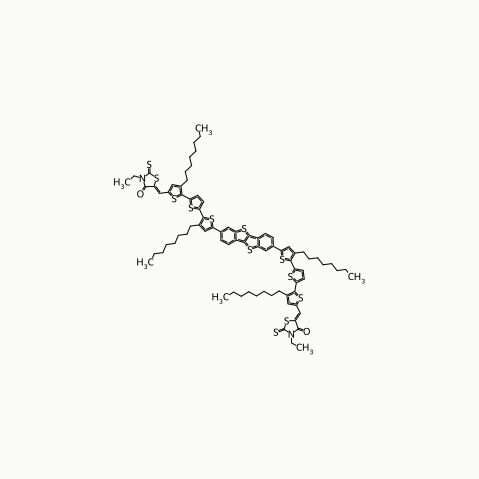 CCCCCCCCc1cc(/C=C2\SC(=S)N(CC)C2=O)sc1-c1ccc(-c2sc(-c3ccc4c(c3)sc3c5ccc(-c6cc(CCCCCCCC)c(-c7ccc(-c8sc(/C=C9\SC(=S)N(CC)C9=O)cc8CCCCCCCC)s7)s6)cc5sc43)cc2CCCCCCCC)s1